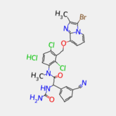 Cc1nc2c(OCc3c(Cl)ccc(N(C)C(=O)C(NC(N)=O)c4cccc(C#N)c4)c3Cl)cccn2c1Br.Cl